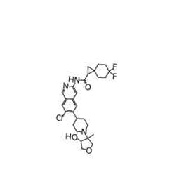 CC1(N2CCC(c3cc4cc(NC(=O)C5CC56CCC(F)(F)CC6)ncc4cc3Cl)CC2)COCC1O